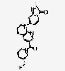 O=C(c1cnc2c(c1)CCCN2c1ccn2c(=O)[nH]nc2c1)N1CCC[C@@H](CF)C1